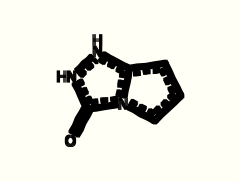 O=c1[nH][nH]c2cccn12